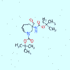 CC(C)(C)OC(=O)N[C@]1(C=O)C=CC=CN(C(=O)OC(C)(C)C)C1